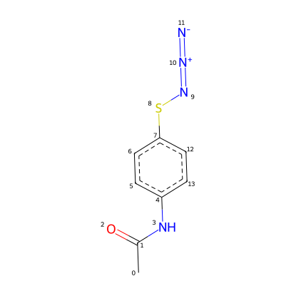 CC(=O)Nc1ccc(SN=[N+]=[N-])cc1